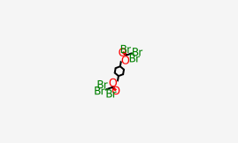 O=C(OCC1CCC(COC(=O)C(Br)(Br)Br)CC1)C(Br)(Br)Br